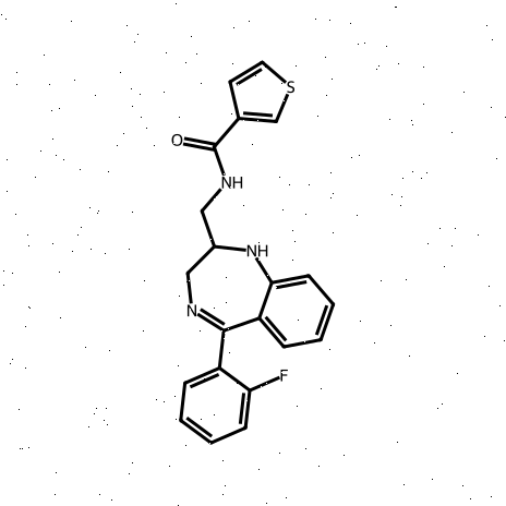 O=C(NCC1CN=C(c2ccccc2F)c2ccccc2N1)c1ccsc1